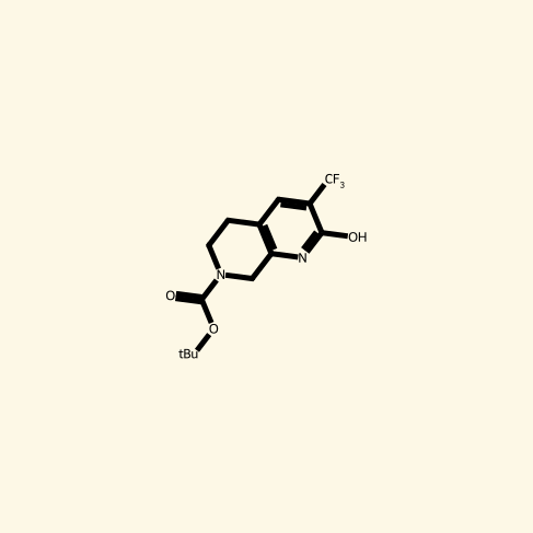 CC(C)(C)OC(=O)N1CCc2cc(C(F)(F)F)c(O)nc2C1